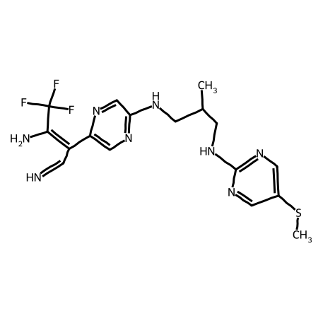 CSc1cnc(NCC(C)CNc2cnc(/C(C=N)=C(/N)C(F)(F)F)cn2)nc1